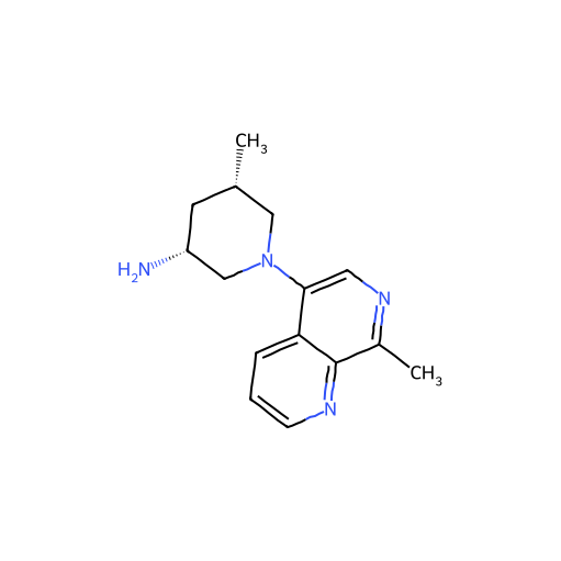 Cc1ncc(N2C[C@@H](C)C[C@@H](N)C2)c2cccnc12